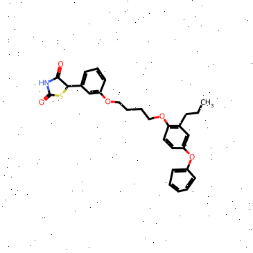 CCCc1cc(Oc2ccccc2)ccc1OCCCCOc1cccc(C2SC(=O)NC2=O)c1